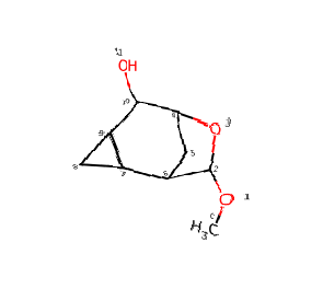 COC1OC2CC1C1CC1C2O